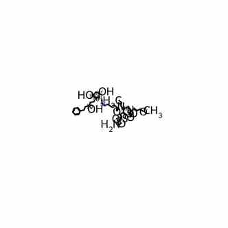 CCN(C(=O)CCC/C=C\C[C@@H]1[C@@H](CC[C@@H](O)CCc2ccccc2)[C@H](O)C[C@@H]1O)[C@H]1CN(CCCOC)S(=O)(=O)c2sc(S(N)(=O)=O)cc21